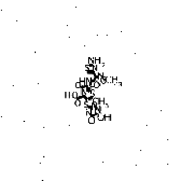 CO/N=C(\C(=O)NC1C(=O)N2C(C(=O)O)=C(Sc3nc(=O)c(O)nn3C)CS[C@@H]12)c1csc(N)n1